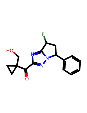 O=C(c1nc2n(n1)C(c1ccccc1)CC2F)C1(CO)CC1